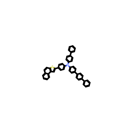 c1ccc(-c2ccc(-c3ccc(N(c4ccc(-c5ccccc5)cc4)c4ccc(-c5cc6c(ccc7ccccc76)s5)cc4)cc3)cc2)cc1